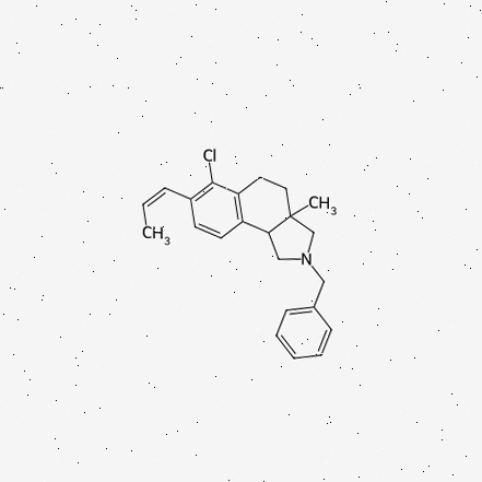 C/C=C\c1ccc2c(c1Cl)CCC1(C)CN(Cc3ccccc3)CC21